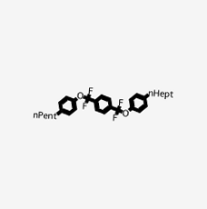 CCCCCCCc1ccc(OC(F)(F)c2ccc(C(F)(F)Oc3ccc(CCCCC)cc3)cc2)cc1